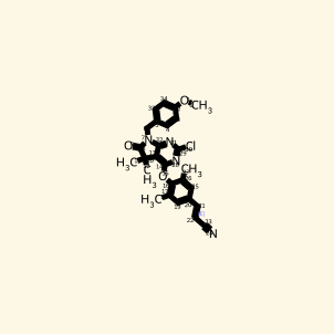 COc1ccc(CN2C(=O)C(C)(C)c3c(Oc4c(C)cc(/C=C/C#N)cc4C)nc(Cl)nc32)cc1